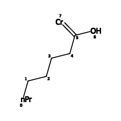 CCCCCCC[C](O)=[Cr]